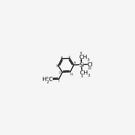 C=Cc1cccc([Si](C)(C)Cl)c1